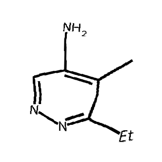 CCc1nncc(N)c1C